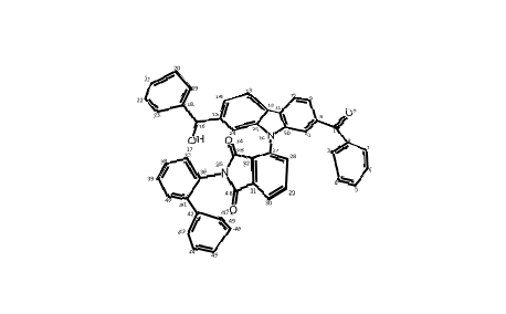 O=C(c1ccccc1)c1ccc2c3ccc(C(O)c4ccccc4)cc3n(-c3cccc4c3C(=O)N(c3ccccc3-c3ccccc3)C4=O)c2c1